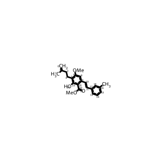 C=C(C)CCc1c(OC)cc(C=Cc2cccc(C)c2)c(C(=O)OC)c1O